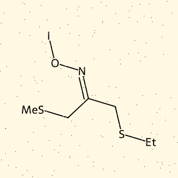 CCSC/C(CSC)=N/OI